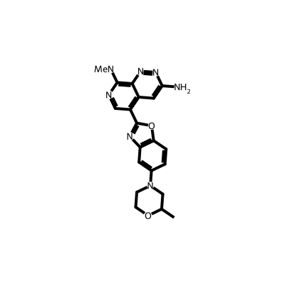 CNc1ncc(-c2nc3cc(N4CCOC(C)C4)ccc3o2)c2cc(N)nnc12